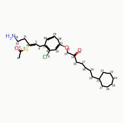 CC(=O)S/C(=C\CC1=C(Cl)C=C(OCC(=O)CCCCCC2CCCCCC2)CC=C1)CCN